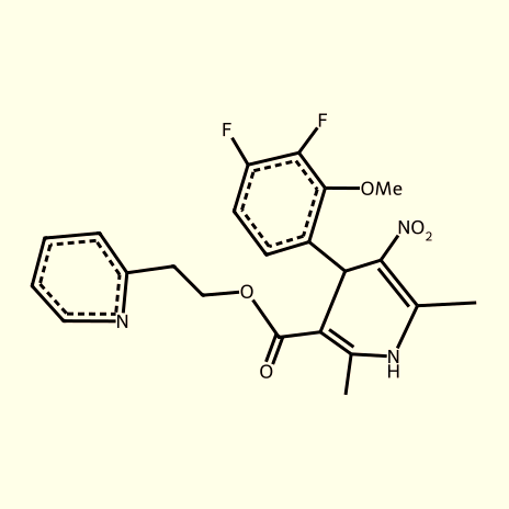 COc1c(C2C(C(=O)OCCc3ccccn3)=C(C)NC(C)=C2[N+](=O)[O-])ccc(F)c1F